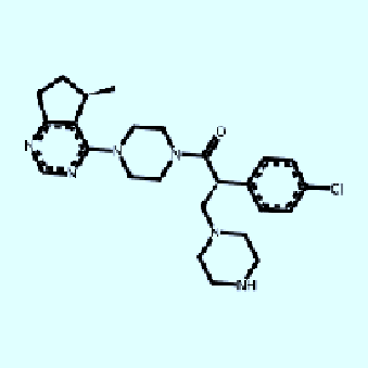 C[C@@H]1CCc2ncnc(N3CCN(C(=O)[C@H](CN4CCNCC4)c4ccc(Cl)cc4)CC3)c21